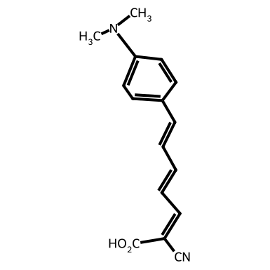 CN(C)c1ccc(C=CC=CC=C(C#N)C(=O)O)cc1